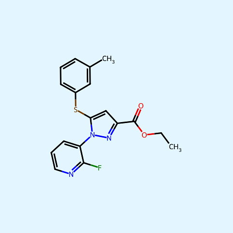 CCOC(=O)c1cc(Sc2cccc(C)c2)n(-c2cccnc2F)n1